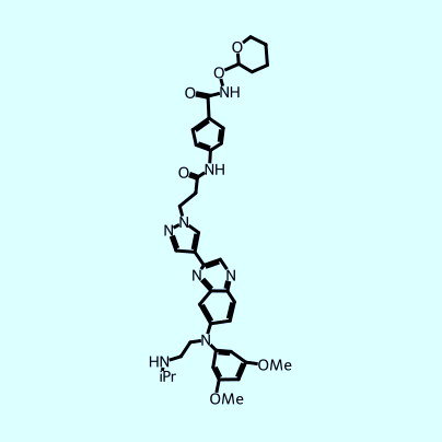 COc1cc(OC)cc(N(CCNC(C)C)c2ccc3ncc(-c4cnn(CCC(=O)Nc5ccc(C(=O)NOC6CCCCO6)cc5)c4)nc3c2)c1